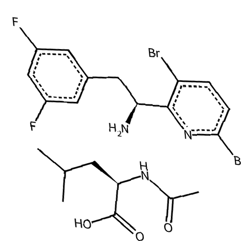 CC(=O)N[C@H](CC(C)C)C(=O)O.N[C@@H](Cc1cc(F)cc(F)c1)c1nc(Br)ccc1Br